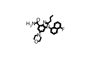 CCCc1nc2c(C(N)=O)cc(N3CCOCC3)cc2n1-c1cccc2c(F)cccc12